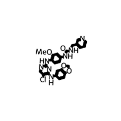 COc1cc(NC(=O)NCc2cccnc2)ccc1Nc1ncc(Cl)c(Nc2ccc3c(c2)OCO3)n1